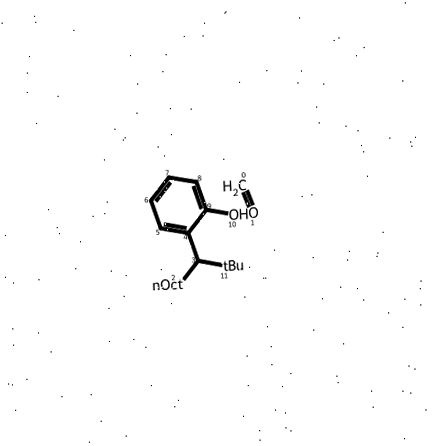 C=O.CCCCCCCCC(c1ccccc1O)C(C)(C)C